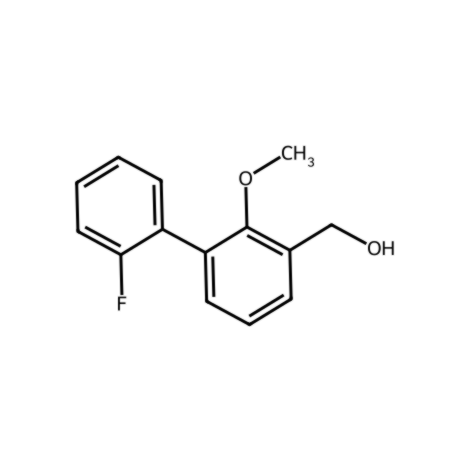 COc1c(CO)cccc1-c1ccccc1F